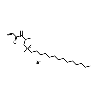 C=CC(=O)NC(C)C[N+](C)(C)CCCCCCCCCCCCCC.[Br-]